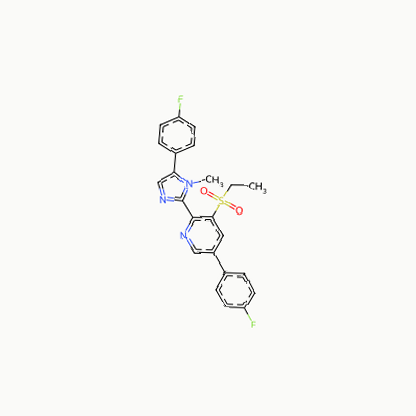 CCS(=O)(=O)c1cc(-c2ccc(F)cc2)cnc1-c1ncc(-c2ccc(F)cc2)n1C